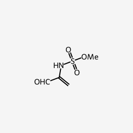 C=C(C=O)NS(=O)(=O)OC